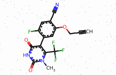 C#CCOc1cc(-c2c(C(F)(F)F)n(C)c(=O)[nH]c2=O)c(F)cc1C#N